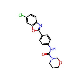 O=C(Nc1ccc(-c2nc3ccc(Cl)cc3o2)cc1)N1CCCOC1